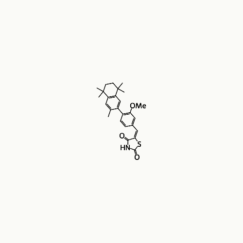 COc1cc(C=C2SC(=O)NC2=O)ccc1-c1cc2c(cc1C)C(C)(C)CCC2(C)C